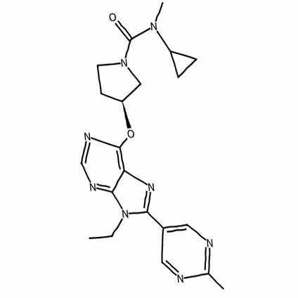 CCn1c(-c2cnc(C)nc2)nc2c(O[C@H]3CCN(C(=O)N(C)C4CC4)C3)ncnc21